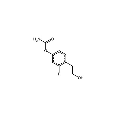 NC(=O)Oc1ccc([CH]CO)c(F)c1